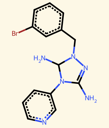 NC1=NN(Cc2cccc(Br)c2)C(N)N1c1cccnc1